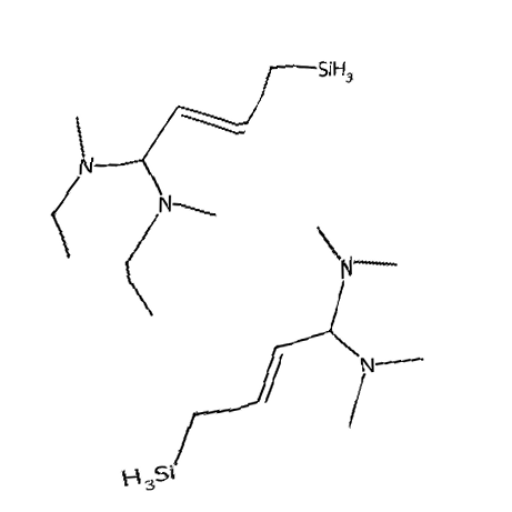 CCN(C)C(C=CC[SiH3])N(C)CC.CN(C)C(C=CC[SiH3])N(C)C